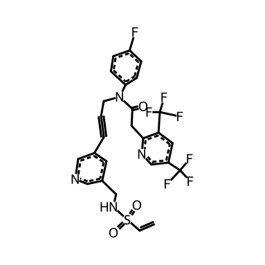 C=CS(=O)(=O)NCc1cncc(C#CCN(C(=O)Cc2ncc(C(F)(F)F)cc2C(F)(F)F)c2ccc(F)cc2)c1